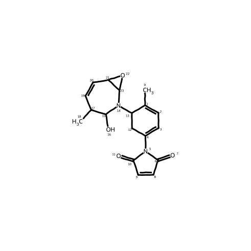 CC1=CC=C(N2C(=O)C=CC2=O)CC1N1C(O)C(C)C=CC2OC21